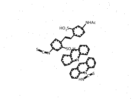 CC(=O)Nc1ccc(C=Cc2ccc(N=C=S)cc2S(=O)(=O)O)c(S(=O)(=O)O)c1.N=C=S.c1ccc2nc3ccccc3cc2c1.c1ccc2nc3ccccc3cc2c1